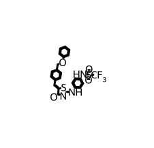 O=C1N=C(Nc2ccc(NS(=O)(=O)C(F)(F)F)cc2)SC1=Cc1ccc(COc2ccccc2)cc1